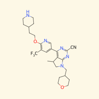 CC1CN(CC2CCOCC2)c2nc(C#N)nc(-c3cnc(OCCC4CCNCC4)c(C(F)(F)F)c3)c21